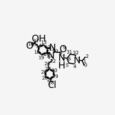 CC(C)N1CCC(NC(=O)c2nc3cc(C(=O)O)ccc3n2CCc2ccc(Cl)cc2)CC1